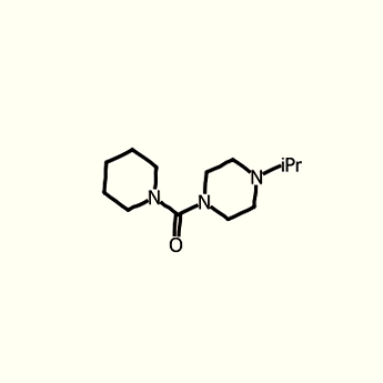 CC(C)N1CCN(C(=O)N2CCCCC2)CC1